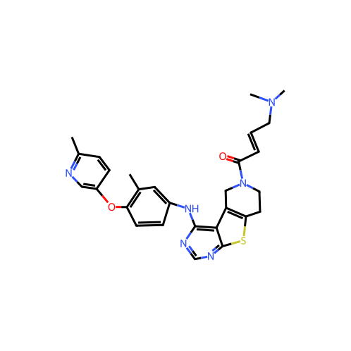 Cc1ccc(Oc2ccc(Nc3ncnc4sc5c(c34)CN(C(=O)/C=C/CN(C)C)CC5)cc2C)cn1